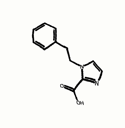 O=C(O)c1nccn1CCc1ccccc1